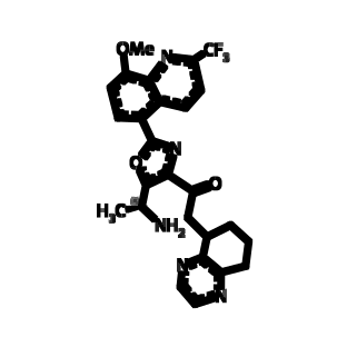 COc1ccc(-c2nc(C(=O)CC3CCCc4nccnc43)c([C@H](C)N)o2)c2ccc(C(F)(F)F)nc12